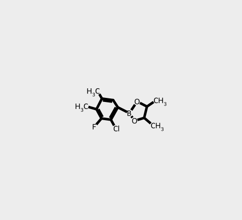 Cc1cc(B2OC(C)C(C)O2)c(Cl)c(F)c1C